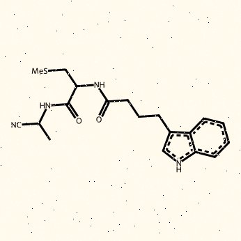 CSCC(NC(=O)CCCc1c[nH]c2ccccc12)C(=O)NC(C)C#N